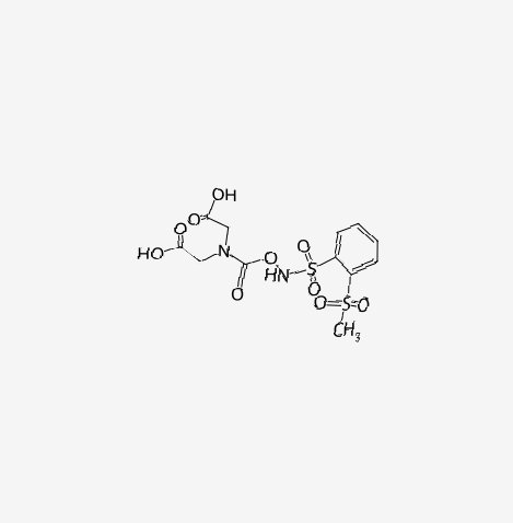 CS(=O)(=O)c1ccccc1S(=O)(=O)NOC(=O)N(CC(=O)O)CC(=O)O